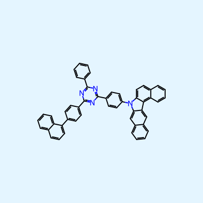 c1ccc(-c2nc(-c3ccc(-c4cccc5ccccc45)cc3)nc(-c3ccc(-n4c5cc6ccccc6cc5c5c6ccccc6ccc54)cc3)n2)cc1